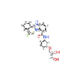 O=C(Nc1cccc(OC[C@@H](O)CO)c1)c1cccc2[nH]c(-c3ccccc3C(F)F)nc12